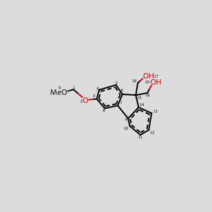 COCOc1ccc2c(c1)-c1ccccc1C2(CO)CO